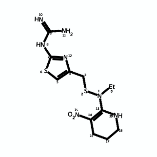 CCN(SCc1csc(NC(=N)N)n1)C1=C([N+](=O)[O-])CCCN1